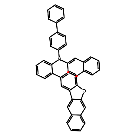 c1ccc(-c2ccc(N(c3ccc4ccccc4c3)c3ccccc3-c3ccc4oc5cc6ccccc6cc5c4c3)cc2)cc1